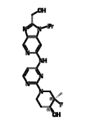 CC(C)n1c(CO)nc2cnc(Nc3ccnc(N4CC[C@H](O)[C@](C)(F)C4)n3)cc21